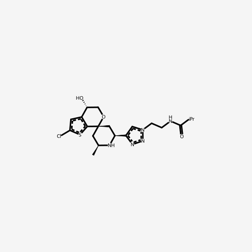 CC(C)C(=O)NCCn1cc([C@@H]2C[C@]3(C[C@H](C)N2)OC[C@@H](O)c2cc(Cl)sc23)nn1